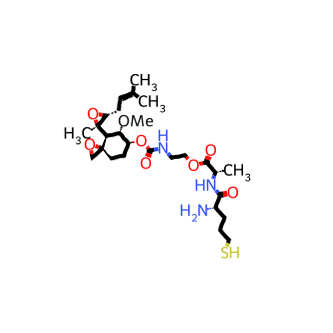 CO[C@@H]1[C@H](OC(=O)NCCOC(=O)[C@H](C)NC(=O)[C@@H](N)CCCS)CC[C@]2(CO2)[C@H]1[C@@]1(C)O[C@@H]1CC=C(C)C